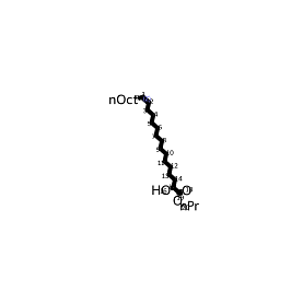 CCCCCCCC/C=C\CCCCCCCCCCCCC(O)C(=O)OCCC